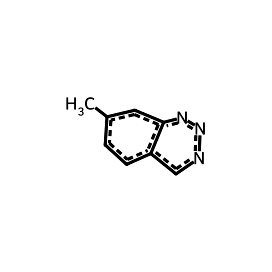 Cc1ccc2cnnnc2c1